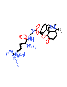 CN(CCNC(=O)[C@@H](N)CCCNC(=N)N)C(=O)Oc1ccc2c3c1OC1C(=O)CCC4[C@@H](C2)N(C)CC[C@]314